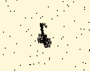 NCCCCCCNC(=O)C(O)C(O)C(O)C(O)CO